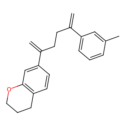 C=C(CCC(=C)c1ccc2c(c1)OCCC2)c1cccc(C)c1